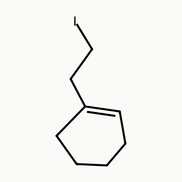 ICCC1=CCCCC1